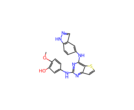 COc1ccc(Nc2nc(Nc3ccc4[nH]ncc4c3)c3sccc3n2)cc1O